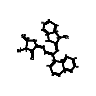 CCN1C(=O)C(=CC=C(C=C2Sc3ccccc3N2CC)c2cccc3ccccc23)SC1=S